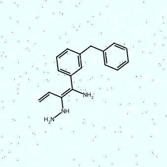 C=C/C(NN)=C(/N)c1cccc(Cc2ccccc2)c1